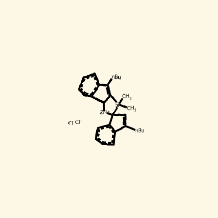 CCCCC1=C[C]2([Zr+2][CH]3C(=C(CCCC)c4ccccc43)[Si]2(C)C)c2ccccc21.[Cl-].[Cl-]